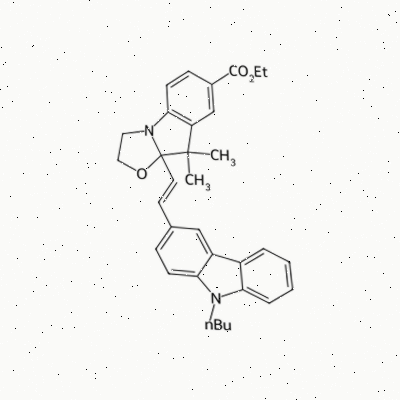 CCCCn1c2ccccc2c2cc(C=CC34OCCN3c3ccc(C(=O)OCC)cc3C4(C)C)ccc21